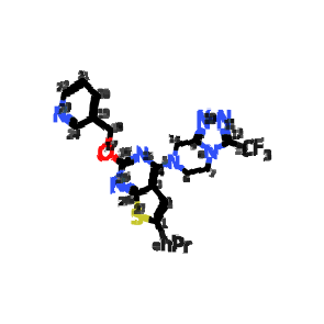 CCCc1cc2c(N3CCn4c(nnc4C(F)(F)F)C3)nc(OCc3cccnc3)nc2s1